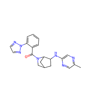 Cc1cnc(NC2CC3CC2N(C(=O)c2ccccc2-n2nccn2)C3)cn1